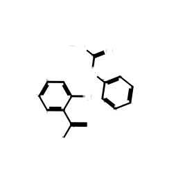 C=C(C)c1ccccc1O.O=C(O)Oc1ccccc1